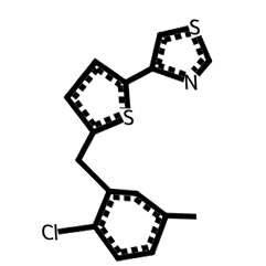 Cc1ccc(Cl)c(Cc2ccc(-c3cscn3)s2)c1